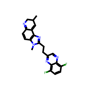 CC1C=c2c(ccc3c2nc(CCc2cnc4c(F)ccc(F)c4n2)n3C)=NC1